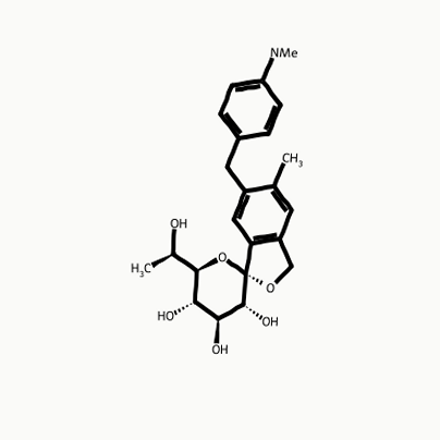 CNc1ccc(Cc2cc3c(cc2C)CO[C@]32O[C@H]([C@@H](C)O)[C@@H](O)[C@H](O)[C@H]2O)cc1